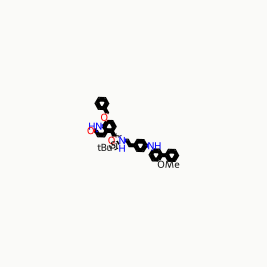 COc1ccc(Nc2ccc(CCNC[C@H](O[Si](C)(C)C(C)(C)C)c3ccc(OCc4ccccc4)c4[nH]c(=O)ccc34)cc2)cc1-c1ccccc1